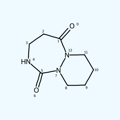 O=C1CCNC(=O)N2CCCCN12